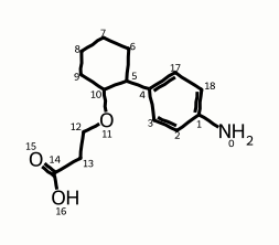 Nc1ccc(C2CCCCC2OCCC(=O)O)cc1